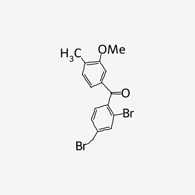 COc1cc(C(=O)c2ccc(CBr)cc2Br)ccc1C